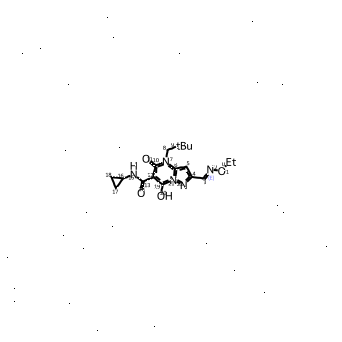 CCO/N=C/c1cc2n(CC(C)(C)C)c(=O)c(C(=O)NC3CC3)c(O)n2n1